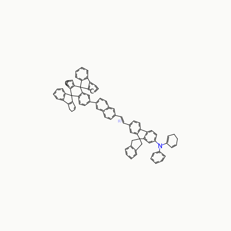 C1=CC(N(c2ccccc2)c2ccc3c(c2)C2(Cc4ccccc4C2)c2cc(/C=C/c4ccc5cc(-c6ccc7c(c6)C6(c8ccccc8-c8ccccc86)c6ccccc6C76C7=C(CCC=C7)c7ccccc76)ccc5c4)ccc2-3)=CCC1